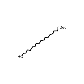 CCCCCCCCCCCCCCCCCCCCCCCCCCO